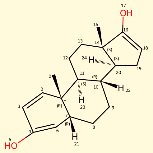 C[C@]12C=CC(O)=C[C@H]1CC[C@@H]1[C@@H]2CC[C@]2(C)C(O)=CC[C@@H]12